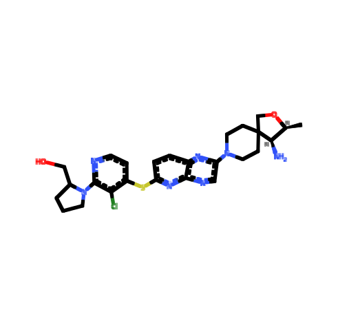 C[C@@H]1OCC2(CCN(c3cnc4nc(Sc5ccnc(N6CCCC6CO)c5Cl)ccc4n3)CC2)[C@@H]1N